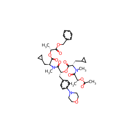 CC(=O)O[C@H](C)C(=O)N(C)[C@@H](CC1CC1)C(=O)O[C@H](Cc1ccc(N2CCOCC2)cc1)C(=O)N(C)[C@@H](CC1CC1)C(=O)O[C@H](C)C(=O)OCc1ccccc1